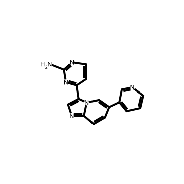 Nc1nccc(-c2cnc3ccc(-c4cccnc4)cn23)n1